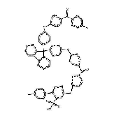 Cc1ccc(C(=O)c2ccc(Oc3ccc(C4(c5ccc(Oc6ccc(C(=O)c7ccc(Cc8ccc(-c9ccc(C)cc9)c(S(=O)(=O)O)c8)cc7)cc6)cc5)c5ccccc5-c5ccccc54)cc3)cc2)cc1